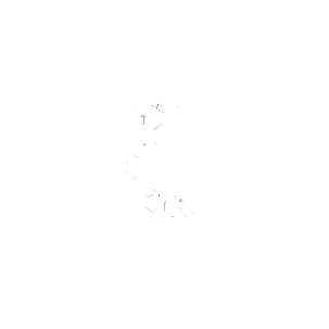 Cc1cc(COC2CCN(Cc3ccc4sc(C)nc4n3)CC2)cc(C)n1